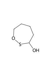 OC1CCCCOS1